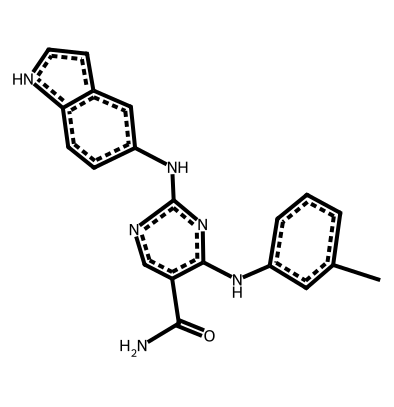 Cc1cccc(Nc2nc(Nc3ccc4[nH]ccc4c3)ncc2C(N)=O)c1